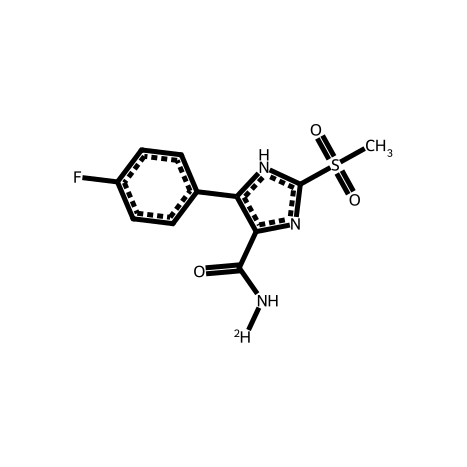 [2H]NC(=O)c1nc(S(C)(=O)=O)[nH]c1-c1ccc(F)cc1